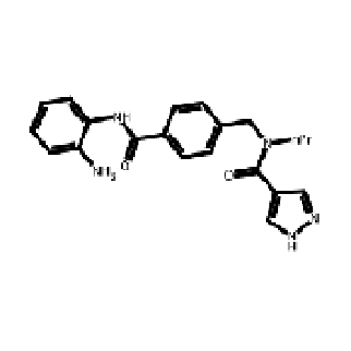 CCCN(Cc1ccc(C(=O)Nc2ccccc2N)cc1)C(=O)c1cn[nH]c1